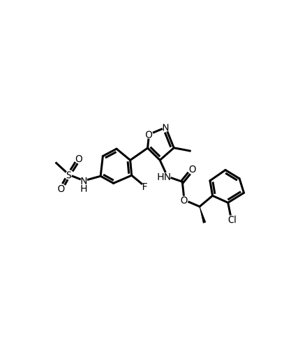 Cc1noc(-c2ccc(NS(C)(=O)=O)cc2F)c1NC(=O)O[C@H](C)c1ccccc1Cl